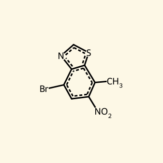 Cc1c([N+](=O)[O-])cc(Br)c2ncsc12